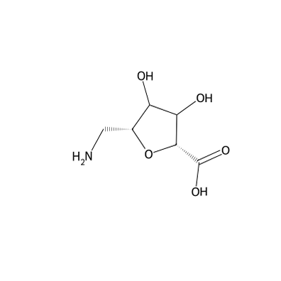 NC[C@H]1O[C@@H](C(=O)O)C(O)C1O